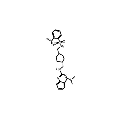 CN(C)c1nc(NC[C@H]2CC[C@H](CNS(=O)(=O)c3ccccc3[N+](=O)[O-])CC2)nc2ccccc12